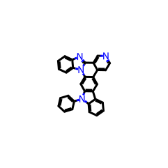 c1ccc(-n2c3ccccc3c3cc4c5ccncc5c5nc6ccccc6n5c4cc32)cc1